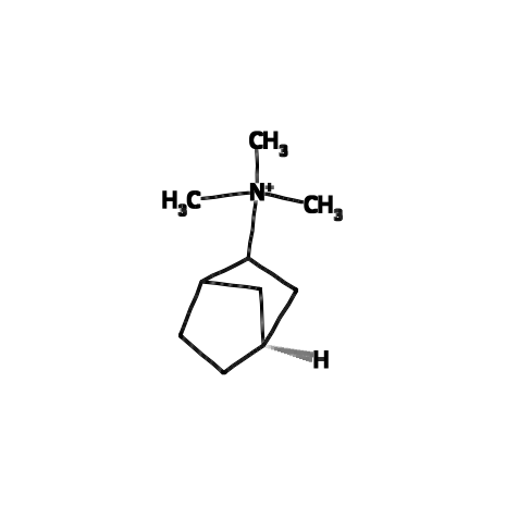 C[N+](C)(C)C1C[C@H]2CCC1C2